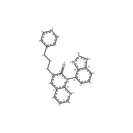 O=c1c(CCCc2ccncc2)cc2cccnc2n1-c1cccc2nsnc12